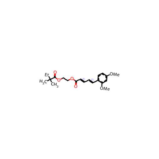 CCC(C)(C)C(=O)OCCOC(=O)/C=C/C=C/c1ccc(OC)cc1OC